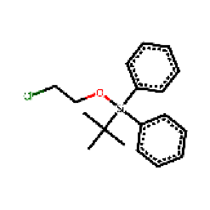 CC(C)(C)[Si](OCCCl)(c1ccccc1)c1ccccc1